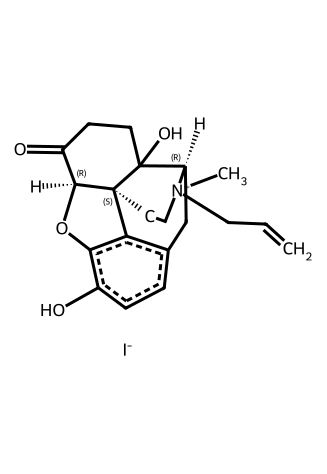 C=CC[N+]1(C)CC[C@]23c4c5ccc(O)c4O[C@H]2C(=O)CCC3(O)[C@H]1C5.[I-]